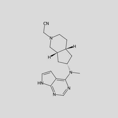 CN(c1ncnc2[nH]ccc12)[C@H]1C[C@H]2CCN(CC#N)C[C@H]2C1